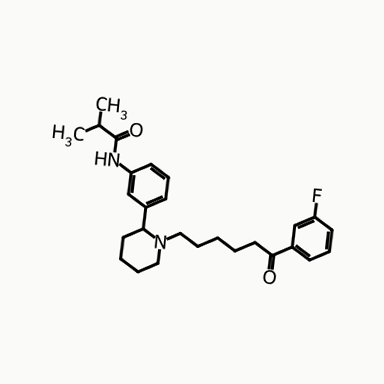 CC(C)C(=O)Nc1cccc(C2CCCCN2CCCCCC(=O)c2cccc(F)c2)c1